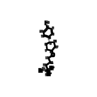 Fc1ccc([C@H]2CC[C@H](OCCC[Si](Br)(Br)Br)CC2)cc1